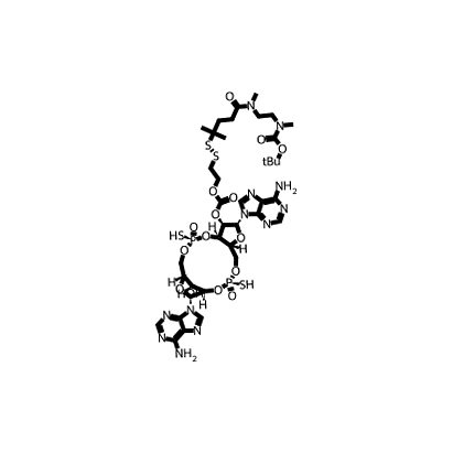 CN(CCN(C)C(=O)OC(C)(C)C)C(=O)CCC(C)(C)SSCCOC(=O)O[C@@H]1[C@@H]2O[P@](=O)(S)OC[C@H]3O[C@@H](n4cnc5c(N)ncnc54)[C@H](O[P@](=O)(S)OC[C@H]2O[C@H]1n1cnc2c(N)ncnc21)[C@@H]3O